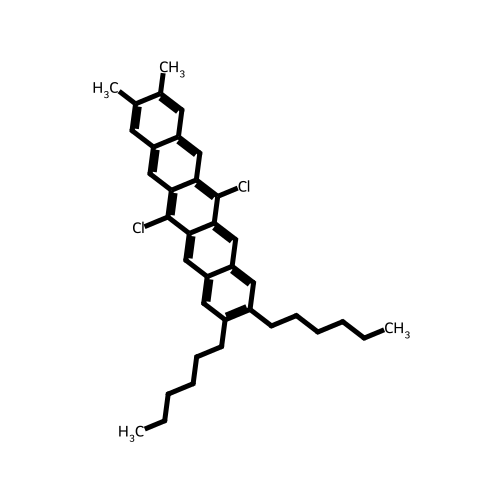 CCCCCCc1cc2cc3c(Cl)c4cc5cc(C)c(C)cc5cc4c(Cl)c3cc2cc1CCCCCC